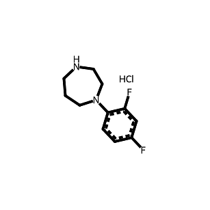 Cl.Fc1ccc(N2CCCNCC2)c(F)c1